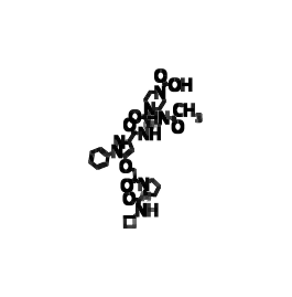 CC(=O)NC[C@H](NC(=O)c1cc(OCC(=O)N2CCC[C@H]2C(=O)NC2CCC2)n(-c2ccccc2)n1)C(=O)N1CCN(C(=O)O)CC1